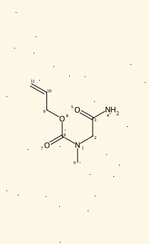 [CH2]N(CC(N)=O)C(=O)OCC=C